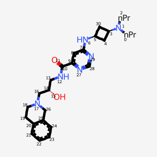 CCCN(CCC)[C@H]1C[C@@H](Nc2cc(C(=O)NC[C@H](O)CN3CCc4ccccc4C3)ncn2)C1